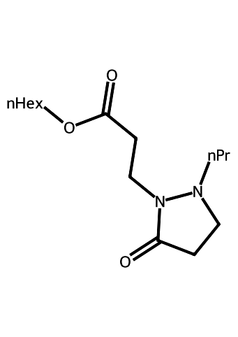 CCCCCCOC(=O)CCN1C(=O)CCN1CCC